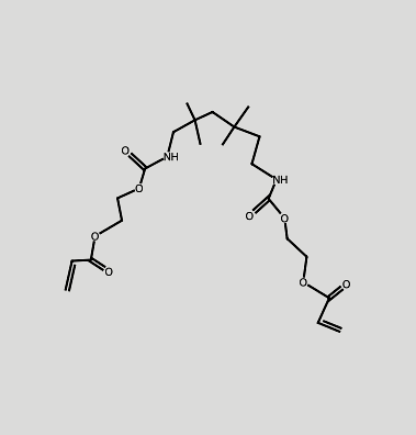 C=CC(=O)OCCOC(=O)NCCC(C)(C)CC(C)(C)CNC(=O)OCCOC(=O)C=C